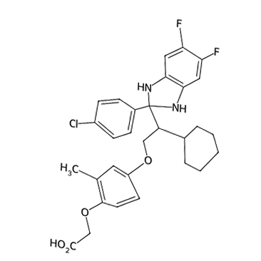 Cc1cc(OCC(C2CCCCC2)C2(c3ccc(Cl)cc3)Nc3cc(F)c(F)cc3N2)ccc1OCC(=O)O